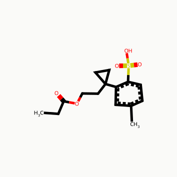 CCC(=O)OCCC1(c2cc(C)ccc2S(=O)(=O)O)CC1